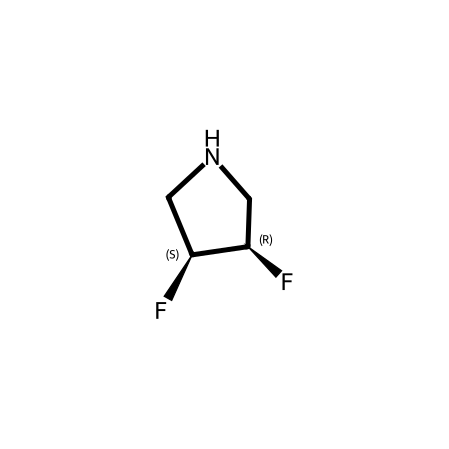 F[C@@H]1CNC[C@@H]1F